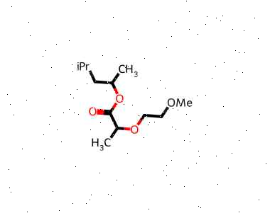 COCCOC(C)C(=O)OC(C)CC(C)C